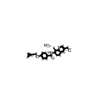 Cc1c(NC(=O)c2ccc(OCC3CC3)cc2)ccc2cc(CCl)cnc12.Cl